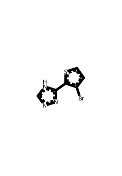 Brc1ccsc1-c1nnc[nH]1